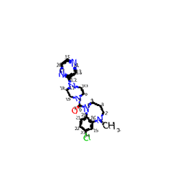 CN1CCCN(C(=O)N2CCN(c3cnccn3)CC2)c2ccc(Cl)cc21